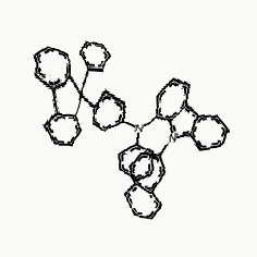 c1ccc(N(c2ccc(C3(c4ccccc4)c4ccccc4-c4ccccc43)cc2)c2cccc3c4ccccc4n(-c4ccc5ccccc5c4)c23)cc1